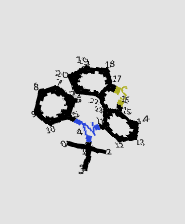 CC(C)(C)N(c1ccccc1)c1cccc2sc3ccccc3c12